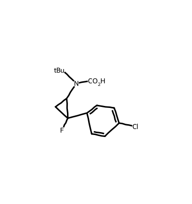 CC(C)(C)N(C(=O)O)C1CC1(F)c1ccc(Cl)cc1